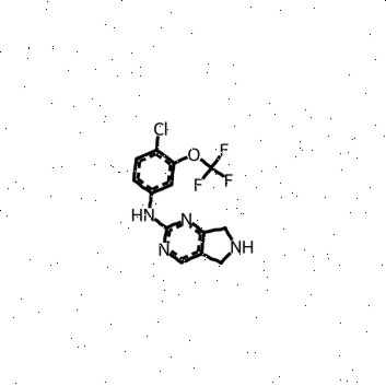 FC(F)(F)Oc1cc(Nc2ncc3c(n2)CNC3)ccc1Cl